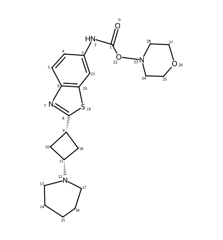 O=C(Nc1ccc2nc([C@H]3C[C@@H](N4CCCCC4)C3)sc2c1)ON1CCOCC1